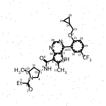 CCC(=O)N1C[C@@H](NC(=O)c2c(C)[nH]c3c(-c4cc(C(F)(F)F)ccc4OCC4CC4)ncnc23)C[C@@H]1C